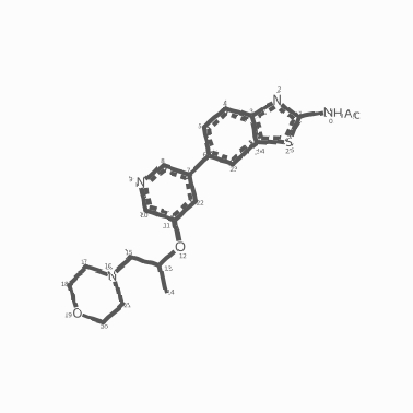 CC(=O)Nc1nc2ccc(-c3cncc(OC(C)CN4CCOCC4)c3)cc2s1